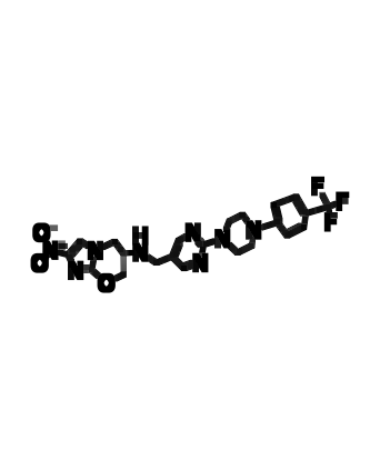 O=[N+]([O-])c1cn2c(n1)OCC(NCc1cnc(N3CCN(c4ccc(C(F)(F)F)cc4)CC3)nc1)C2